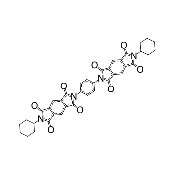 O=c1c2cc3c(=O)n(C4CCCCC4)c(=O)c3cc2c(=O)n1-c1ccc(-n2c(=O)c3cc4c(=O)n(C5CCCCC5)c(=O)c4cc3c2=O)cc1